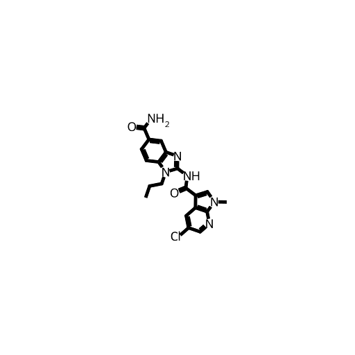 CCCn1c(NC(=O)c2cn(C)c3ncc(Cl)cc23)nc2cc(C(N)=O)ccc21